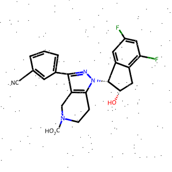 N#Cc1cccc(-c2nn([C@@H]3c4cc(F)cc(F)c4C[C@@H]3O)c3c2CN(C(=O)O)CC3)c1